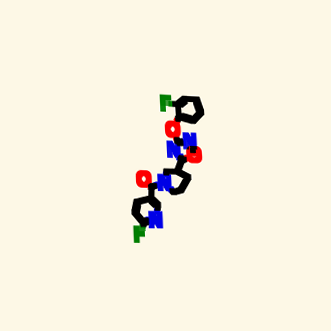 O=C(c1ccc(F)nc1)N1CCCC(c2nc(Oc3ccccc3F)no2)C1